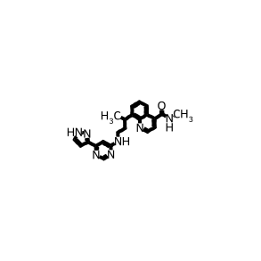 CNC(=O)c1ccnc2c(C(C)CCNc3cc(-c4cc[nH]n4)ncn3)cccc12